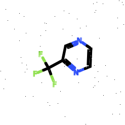 FC(F)(F)c1cnccn1